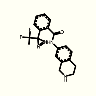 O=C(Nc1ccc2c(c1)CNCC2)c1ccccc1C1(C(F)(F)F)N=N1